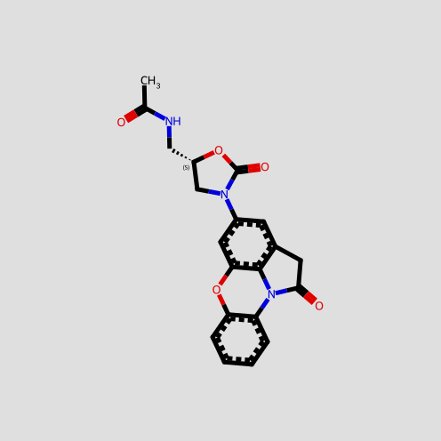 CC(=O)NC[C@H]1CN(c2cc3c4c(c2)Oc2ccccc2N4C(=O)C3)C(=O)O1